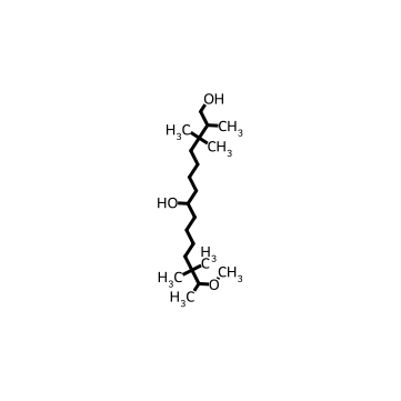 COC(C)C(C)(C)CCCCC(O)CCCCC(C)(C)C(C)CO